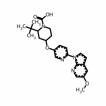 COc1cnc2c(ccn2-c2ccc(OC3CCN(C(=O)O)C(C(C)(C)C)C3)cn2)c1